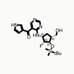 CC(C)(C)[Si](C)(C)O[C@@H]1[C@@H](CO)C[C@@H](Nc2ncncc2C(=O)c2cc[nH]c2)[C@H]1F